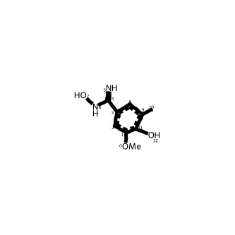 COc1cc(C(=N)NO)cc(C)c1O